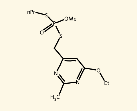 CCCSP(=O)(OC)SCc1cc(OCC)nc(C)n1